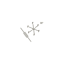 CC#CC.[F][Sb-]([F])([F])([F])([F])[F].[H+]